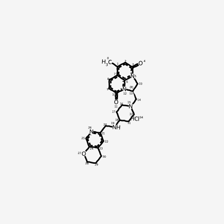 Cc1cc(=O)n2c3c1ccc(=O)n3[C@H](CN1CCC(NCc3cc4c(cn3)OCCC4)CC1)C2.Cl